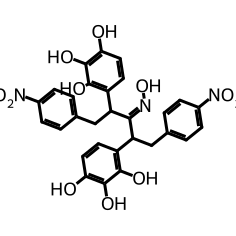 O=[N+]([O-])c1ccc(CC(C(=NO)C(Cc2ccc([N+](=O)[O-])cc2)c2ccc(O)c(O)c2O)c2ccc(O)c(O)c2O)cc1